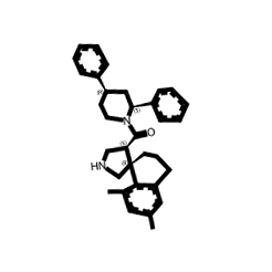 Cc1cc(C)c2c(c1)CCC[C@]21CNC[C@H]1C(=O)N1CC[C@@H](c2ccccc2)C[C@H]1c1ccccc1